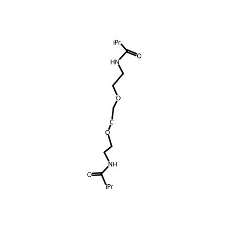 CC(C)C(=O)NCCOCCOCCNC(=O)C(C)C